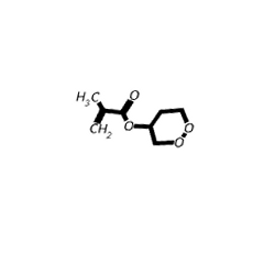 C=C(C)C(=O)OC1CCOOC1